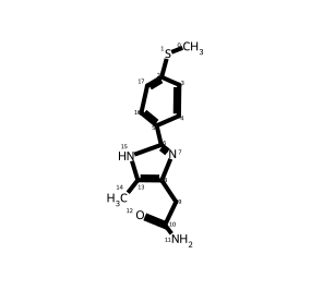 CSc1ccc(-c2nc(CC(N)=O)c(C)[nH]2)cc1